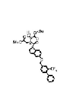 COC(=O)C[C@H](C(=O)N1CCc2cc(OCc3ccc(-c4ccccc4)c(C(F)(F)F)c3)ccc21)N(C)C(=O)OC(C)(C)C